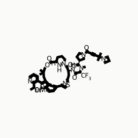 CCn1c(-c2cccnc2[C@H](C)OC)c2c3cc(ccc31)-c1csc(n1)C[C@H](NC(=O)[C@@H](N(C)C(=O)[C@H]1CCN(C(=O)C#CC(C)(C)N3CCC3)C1)C(F)(F)F)C(=O)N1CCC[C@H](N1)C(=O)OCC(C)(C)C2